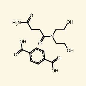 NC(=O)CCC(=O)N(CCO)CCO.O=C(O)c1ccc(C(=O)O)cc1